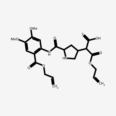 C=CCOC(=O)c1cc(OC)c(OC)cc1NC(=O)C1CC(C(C(=O)OCC=C)C(O)=S)CN1